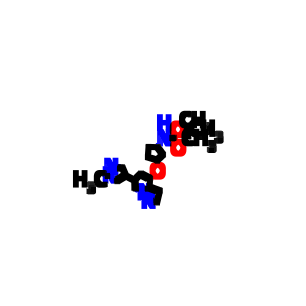 Cn1cc(-c2cc(O[C@@H]3CC[C@H](NC(=O)OC(C)(C)C)C3)c3ccnn3c2)cn1